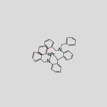 CCCC(c1ccccc1N(Cc1ccccc1)Cc1ccccc1)c1ccccc1N(Cc1ccccc1)Cc1ccccc1